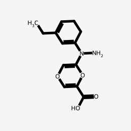 CCC1=CCCC(N(N)C2=COC=C(C(=O)O)O2)=C1